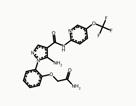 NC(=O)COc1ccccc1-n1ncc(C(=O)Nc2ccc(OC(F)(F)F)cn2)c1N